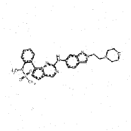 CN(c1ccccc1-c1ccc2cnc(Nc3ccc4cn(CCN5CCOCC5)nc4c3)nn12)S(C)(=O)=O